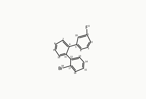 Fc1cccc(-c2ccccc2-c2ccccc2Br)c1